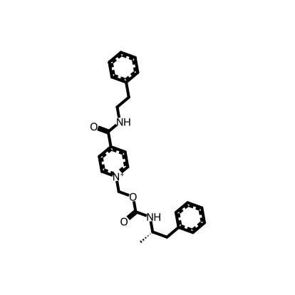 C[C@@H](Cc1ccccc1)NC(=O)OC[n+]1ccc(C(=O)NCCc2ccccc2)cc1